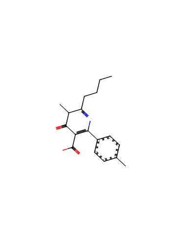 CCCCC1=NC(c2ccc(C)cc2)=C(C(=O)O)C(=O)C1C